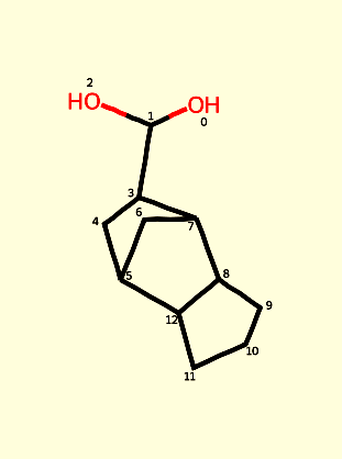 OC(O)C1CC2CC1C1CCCC21